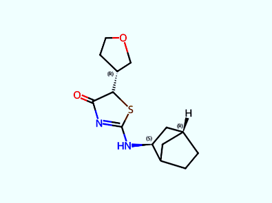 O=C1N=C(N[C@H]2C[C@@H]3CCC2C3)SC1[C@@H]1CCOC1